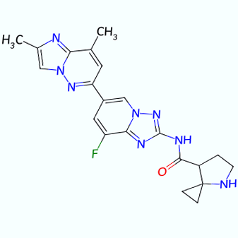 Cc1cn2nc(-c3cc(F)c4nc(NC(=O)C5CCNC56CC6)nn4c3)cc(C)c2n1